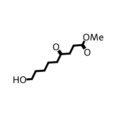 COC(=O)CCC(=O)CCCCCO